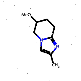 COC1CCc2nc(C)cn2C1